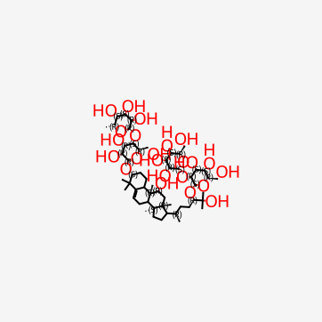 C[C@H](CC[C@@H](O[C@@H]1O[C@H](CO)[C@@H](O)[C@H](O)[C@H]1O[C@@H]1O[C@H](CO)[C@@H](O)[C@H](O)[C@H]1O)C(C)(C)O)C1CC[C@@]2(C)C3CC=C4C(CC[C@H](O[C@@H]5O[C@H](CO)[C@@H](O[C@H]6O[C@H](C)[C@@H](O)[C@H](O)[C@H]6O)[C@H](O)[C@H]5O)C4(C)C)[C@]3(C)[C@H](O)C[C@]12C